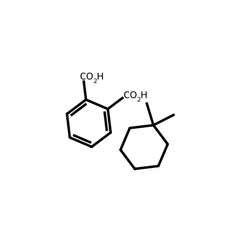 CC1(C)CCCCC1.O=C(O)c1ccccc1C(=O)O